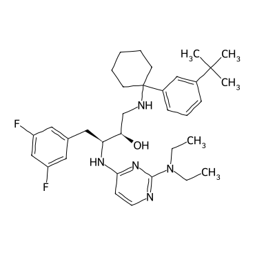 CCN(CC)c1nccc(N[C@@H](Cc2cc(F)cc(F)c2)[C@H](O)CNC2(c3cccc(C(C)(C)C)c3)CCCCC2)n1